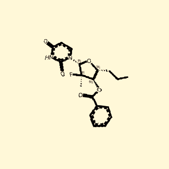 CCC[C@H]1O[C@@H](n2ccc(=O)[nH]c2=O)[C@](C)(F)[C@@H]1OC(=O)c1ccccc1